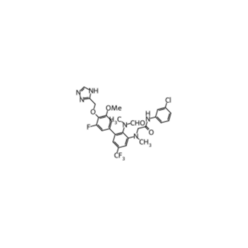 COc1cc(-c2cc(C(F)(F)F)cc(N(C)CC(=O)Nc3cccc(Cl)c3)c2N(C)C=O)cc(F)c1OCc1nnc[nH]1